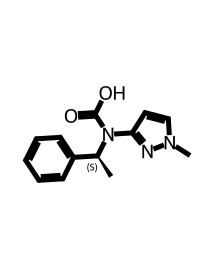 C[C@@H](c1ccccc1)N(C(=O)O)c1ccn(C)n1